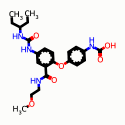 CCC(CC)NC(=O)Nc1ccc(Oc2ccc(NC(=O)O)cc2)c(C(=O)NCCOC)c1